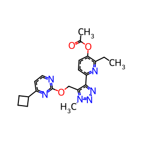 CCc1nc(-c2nnn(C)c2COc2nccc(C3CCC3)n2)ccc1OC(C)=O